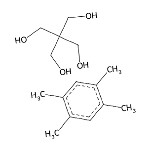 Cc1cc(C)c(C)cc1C.OCC(CO)(CO)CO